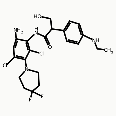 CCNc1ccc(C(CO)C(=O)Nc2c(N)cc(Cl)c(N3CCC(F)(F)CC3)c2Cl)cc1